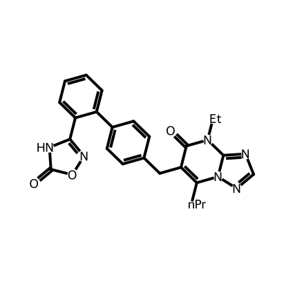 CCCc1c(Cc2ccc(-c3ccccc3-c3noc(=O)[nH]3)cc2)c(=O)n(CC)c2ncnn12